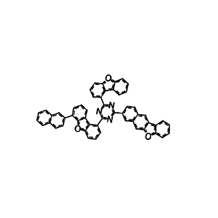 c1ccc2cc(-c3cccc4c3oc3cccc(-c5nc(-c6ccc7cc8c(cc7c6)oc6ccccc68)nc(-c6cccc7oc8ccccc8c67)n5)c34)ccc2c1